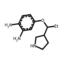 CCC(Oc1ccc(N)c(N)c1)C1CCNC1